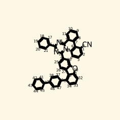 N#Cc1ccccc1-c1ccccc1-c1nc(-c2ccccc2)nc(-c2ccc3c(c2)oc2cccc(-c4ccc(-c5ccccc5)cc4)c23)n1